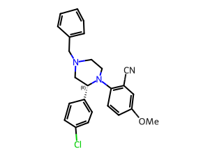 COc1ccc(N2CCN(Cc3ccccc3)C[C@H]2c2ccc(Cl)cc2)c(C#N)c1